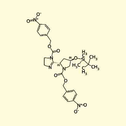 CC(C)(C)[Si](C)(C)O[C@@H]1C[C@@H](C2=NCCN2C(=O)OCc2ccc([N+](=O)[O-])cc2)N(C(=O)OCc2ccc([N+](=O)[O-])cc2)C1